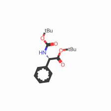 CC(C)(C)OC(=O)N[C@H](C(=O)OC(C)(C)C)c1ccccc1